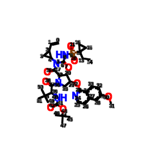 C=CC1CC1N(C(=O)NS(=O)(=O)C1(CC)CC1)C(=O)C1CC(Oc2nccc3cc(OC)ccc23)CN1C(=O)C(NC(=O)OC(C)(C)C)C(C)(C)C